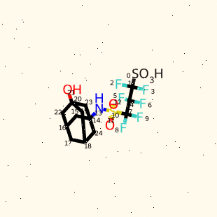 O=S(=O)(O)C(F)(F)C(F)(F)C(F)(F)S(=O)(=O)NC12CC3CC(CC(O)(C3)C1)C2